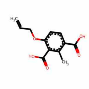 C=CCOc1ccc(C(=O)O)c(C)c1C(=O)O